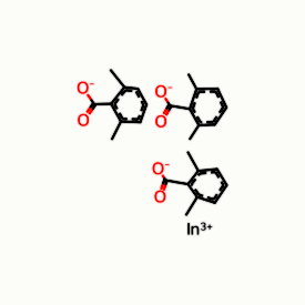 Cc1cccc(C)c1C(=O)[O-].Cc1cccc(C)c1C(=O)[O-].Cc1cccc(C)c1C(=O)[O-].[In+3]